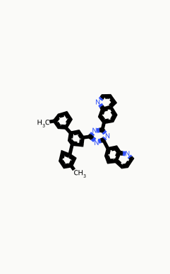 Cc1cccc(-c2cc(-c3cccc(C)c3)cc(-c3nc(-c4ccc5cccnc5c4)nc(-c4ccc5cccnc5c4)n3)c2)c1